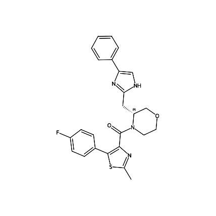 Cc1nc(C(=O)N2CCOC[C@H]2Cc2nc(-c3ccccc3)c[nH]2)c(-c2ccc(F)cc2)s1